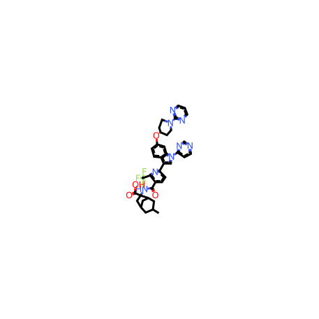 CC1CC2CC(C1)C(NC(=O)c1ccc(-c3cn(-c4ccncn4)c4cc(OC5CCN(c6ncccn6)CC5)ccc34)nc1C(F)(F)F)(C(=O)O)C2